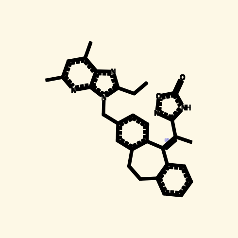 CCc1nc2c(C)cc(C)nc2n1Cc1ccc2c(c1)CCc1ccccc1/C2=C(\C)c1noc(=O)[nH]1